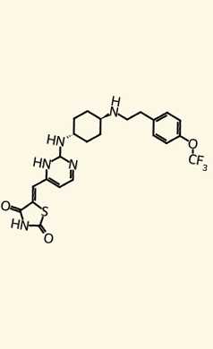 O=C1NC(=O)/C(=C/C2=CC=NC(N[C@H]3CC[C@H](NCCc4ccc(OC(F)(F)F)cc4)CC3)N2)S1